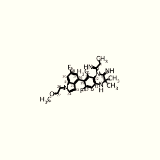 CCC(=N)N1C(=N)C(C)(C)Nc2cc(F)c(-c3cc(F)cc4c3ccn4CCOC)c(C)c21